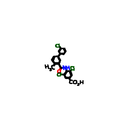 Cc1ccc(-c2cccc(Cl)c2)cc1C(=O)Nc1c(Cl)cc(C(=O)O)cc1Cl